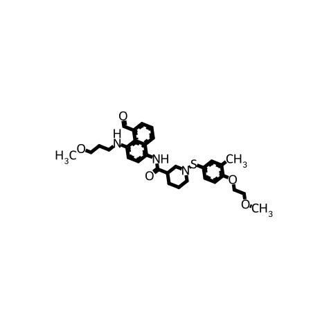 COCCCNc1ccc(NC(=O)C2CCCN(Sc3ccc(OCCOC)c(C)c3)C2)c2cccc(C=O)c12